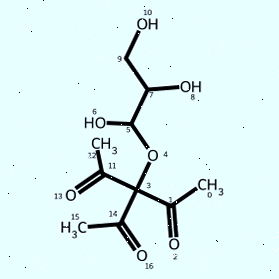 CC(=O)C(OC(O)C(O)CO)(C(C)=O)C(C)=O